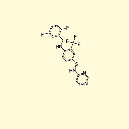 Fc1ccc(F)c(CNc2ccc(SNc3ccncn3)cc2C(F)(F)F)c1